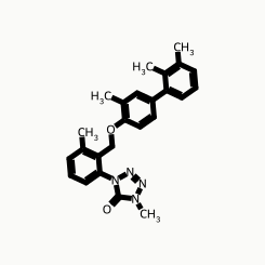 Cc1cc(-c2cccc(C)c2C)ccc1OCc1c(C)cccc1-n1nnn(C)c1=O